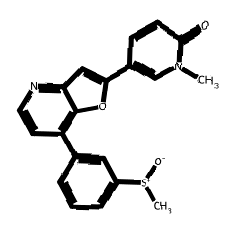 Cn1cc(-c2cc3nccc(-c4cccc([S+](C)[O-])c4)c3o2)ccc1=O